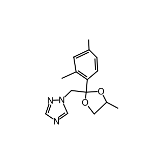 Cc1ccc(C2(Cn3cncn3)OCC(C)O2)c(C)c1